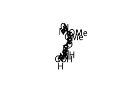 COc1cc(-c2cn(C)c(=O)c3cnccc23)cc(OC)c1CN1CCN(C(=O)CC2CCN(c3ccc4c(N5CCC(=O)NC5O)n[nH]c4c3F)CC2)CC1